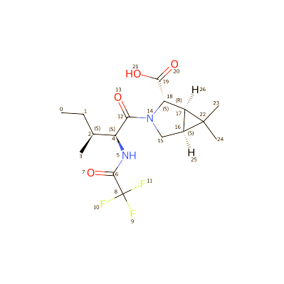 CC[C@H](C)[C@H](NC(=O)C(F)(F)F)C(=O)N1C[C@H]2[C@@H]([C@H]1C(=O)O)C2(C)C